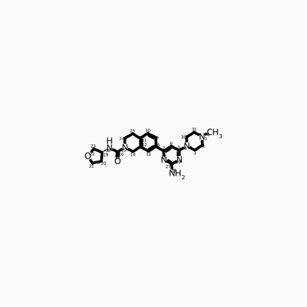 CN1CCN(c2cc(-c3ccc4c(c3)CN(C(=O)N[C@@H]3CCOC3)CC4)nc(N)n2)CC1